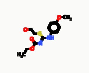 CCOC(=O)/N=C(/Nc1ccc(OC)cc1)SCC=O